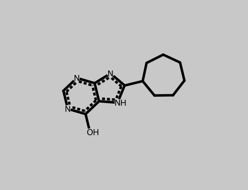 Oc1ncnc2nc(C3CCCCCC3)[nH]c12